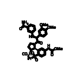 COC(=O)Nc1ccc(S(=O)(=O)C(C)C)c([C@H]2C(C(=O)O)CCN2C(=O)C(Nc2cccc(C(N)=O)c2)c2ccc(OC)c(OC)c2)c1